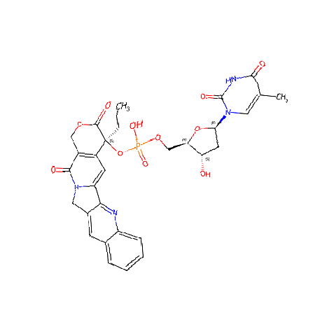 CC[C@@]1(OP(=O)(O)OC[C@H]2O[C@@H](n3cc(C)c(=O)[nH]c3=O)C[C@@H]2O)C(=O)OCc2c1cc1n(c2=O)Cc2cc3ccccc3nc2-1